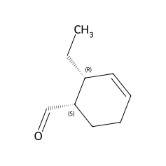 CC[C@@H]1C=CCC[C@@H]1C=O